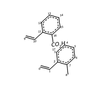 C=Cc1ccccc1C.C=Cc1ccccc1C(=O)O